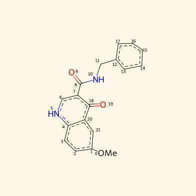 COc1ccc2[nH]cc(C(=O)NCc3ccccc3)c(=O)c2c1